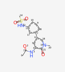 CC(=O)Nc1cc(-c2cccc(NS(C)(=O)=O)c2)cn(C)c1=O